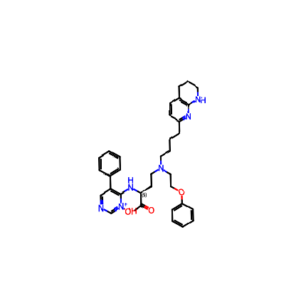 CC(=O)[C@H](CCN(CCCCc1ccc2c(n1)NCCC2)CCOc1ccccc1)Nc1c(-c2ccccc2)cnc[n+]1O